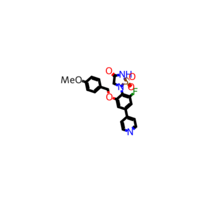 COc1ccc(COc2cc(-c3ccncc3)cc(F)c2N2CC(=O)NS2(=O)=O)cc1